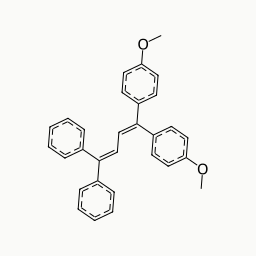 COc1ccc(C(=CC=C(c2ccccc2)c2ccccc2)c2ccc(OC)cc2)cc1